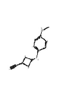 C#CC1CC(Oc2ccc(OC)cc2)C1